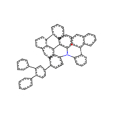 c1ccc(-c2ccc(-c3ccc(N(c4ccccc4-c4cccc5ccccc45)c4ccccc4-c4cccc5cccc(-c6ccccc6)c45)cc3)cc2-c2ccccc2)cc1